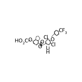 O=C(O)COc1ccc(S(=O)(=O)Cc2cc(Cl)c(OCc3ccc(C(F)(F)F)cc3)c(Cl)c2)c2c1CCC2.[LiH]